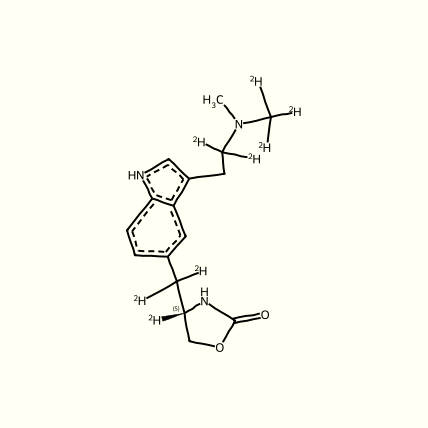 [2H]C([2H])([2H])N(C)C([2H])([2H])Cc1c[nH]c2ccc(C([2H])([2H])[C@@]3([2H])COC(=O)N3)cc12